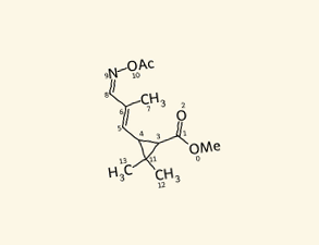 COC(=O)C1C(/C=C(C)/C=N\OC(C)=O)C1(C)C